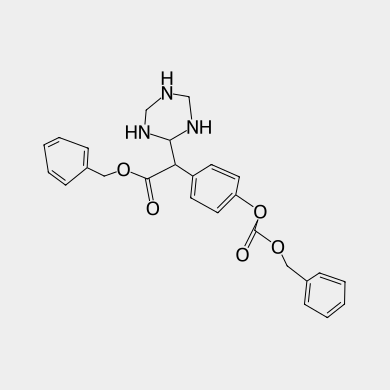 O=C(OCc1ccccc1)Oc1ccc(C(C(=O)OCc2ccccc2)C2NCNCN2)cc1